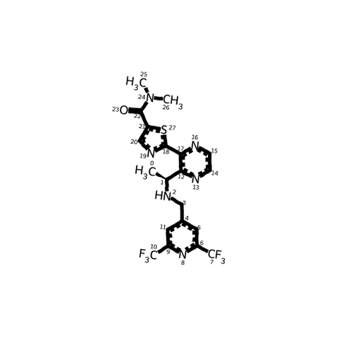 C[C@H](NCc1cc(C(F)(F)F)nc(C(F)(F)F)c1)c1nccnc1-c1ncc(C(=O)N(C)C)s1